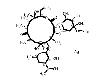 CC[C@H]1OC(=O)[C@H](C)[C@@H](O[C@H]2C[C@@](C)(OC)[C@@H](O)[C@H](C)O2)[C@@H](C)[C@@H](O[C@@H]2O[C@H](C)C[C@H](N(C)C)[C@H]2O)[C@](C)(O)C[C@@H](C)C(=O)[C@H](C)[C@H](O)[C@]1(C)O.[Ag]